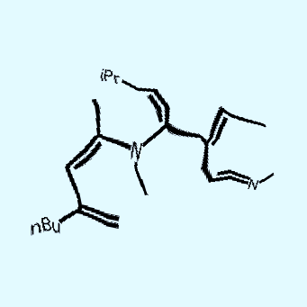 C=C(/C=C(/C)N(C)C(=C\C(C)C)/C(/C=N\C)=C/C)CCCC